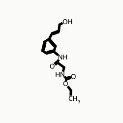 CCOC(=O)NCC(=O)Nc1cccc(/C=C/CO)c1